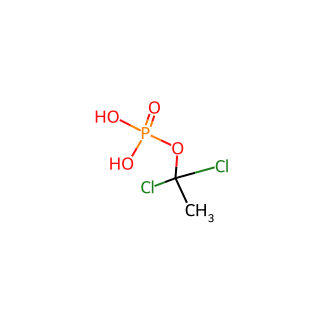 CC(Cl)(Cl)OP(=O)(O)O